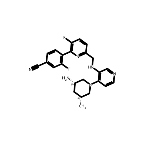 C[C@@H]1C[C@H](N)CN(c2ccncc2NCc2ccc(F)c(-c3ccc(C#N)cc3F)n2)C1